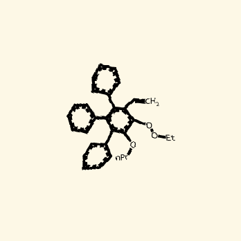 C=Cc1c(OOCC)c(OCCC)c(-c2ccccc2)c(-c2ccccc2)c1-c1ccccc1